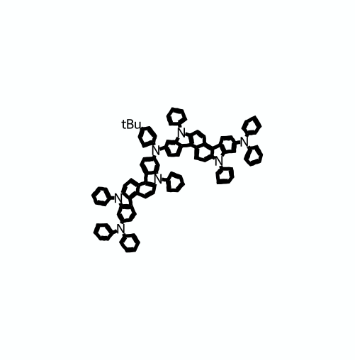 CC(C)(C)c1ccc(N(c2ccc3c4c5ccc6c(c5ccc4n(-c4ccccc4)c3c2)c2ccc(N(c3ccccc3)c3ccccc3)cc2n6-c2ccccc2)c2ccc3c4c5ccc6c(c5ccc4n(-c4ccccc4)c3c2)c2ccc(N(c3ccccc3)c3ccccc3)cc2n6-c2ccccc2)cc1